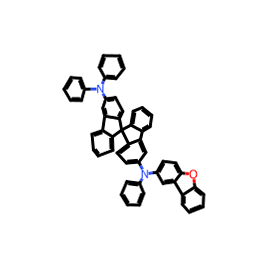 c1ccc(N(c2ccccc2)c2ccc3c(c2)-c2ccccc2C32c3ccccc3-c3cc(N(c4ccccc4)c4ccc5oc6ccccc6c5c4)ccc32)cc1